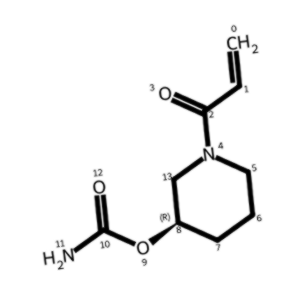 C=CC(=O)N1CCC[C@@H](OC(N)=O)C1